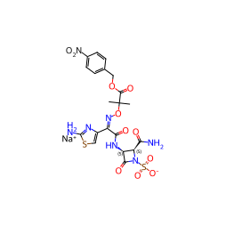 CC(C)(ON=C(C(=O)N[C@@H]1C(=O)N(S(=O)(=O)[O-])[C@@H]1C(N)=O)c1csc(N)n1)C(=O)OCc1ccc([N+](=O)[O-])cc1.[Na+]